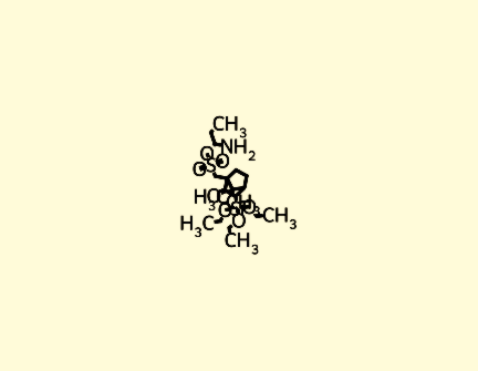 CCO[Si](OCC)(OCC)C1C(=O)C2(CS(=O)(=O)OC(N)CC)CCC1C2(C)C